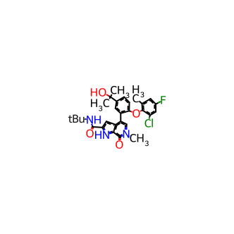 Cc1cc(F)cc(Cl)c1Oc1ccc(C(C)(C)O)cc1-c1cn(C)c(=O)c2[nH]c(C(=O)NC(C)(C)C)cc12